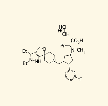 CCC1C2=C(NN1CC)C1(CCN(CC3CC(N(C)[C@@H](C(=O)O)C(C)C)CC3c3cccc(F)c3)CC1)OC2.Cl.Cl.Cl